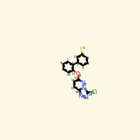 Fc1cccc(-c2ccccc2Oc2ccc3nnc(Cl)n3n2)c1